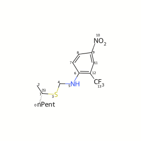 CCCCC[C@H](C)SCNc1ccc([N+](=O)[O-])cc1C(F)(F)F